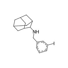 Ic1cccc(CNC2C3CC4CC(C3)CC2C4)c1